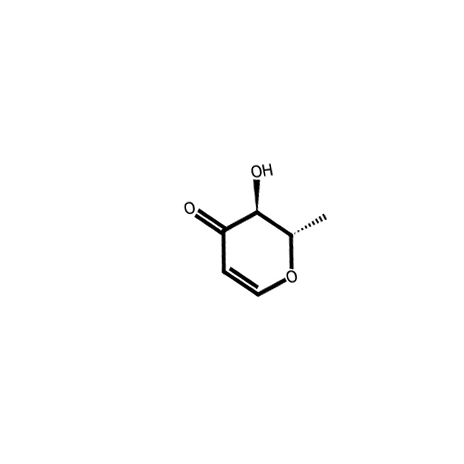 C[C@@H]1OC=CC(=O)[C@H]1O